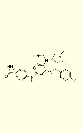 CC(=N)N1C(=N)[C@H](CC(=O)Nc2ccc(C(N)=O)cc2)N=C(c2ccc(Cl)cc2)c2c1sc(C)c2C